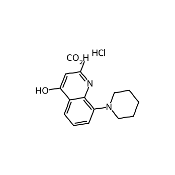 Cl.O=C(O)c1cc(O)c2cccc(N3CCCCC3)c2n1